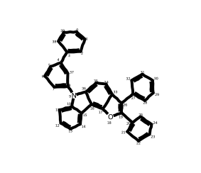 c1ccc(-c2cccc(-n3c4ccccc4c4c5oc(-c6ccccc6)c(-c6ccccc6)c5ccc43)c2)cc1